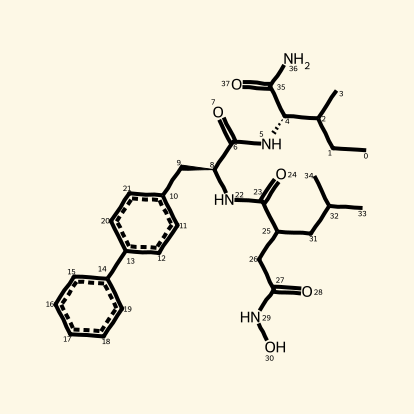 CCC(C)[C@H](NC(=O)[C@H](Cc1ccc(-c2ccccc2)cc1)NC(=O)C(CC(=O)NO)CC(C)C)C(N)=O